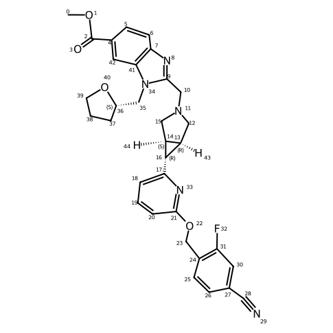 COC(=O)c1ccc2nc(CN3C[C@@H]4[C@H](C3)[C@H]4c3cccc(OCc4ccc(C#N)cc4F)n3)n(C[C@@H]3CCCO3)c2c1